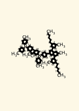 CCCCCCc1cc(C)cc(-c2cc(-c3ccc(N(c4ccc(C)cc4)c4ccc5c(c4)C(C)(C)c4cc(N(c6ccc(C)cc6)c6ccc(C)cc6)ccc4-5)cc3)cc3c(-c4cc(C)cc(CCCCCC)c4)cc(C)cc23)c1